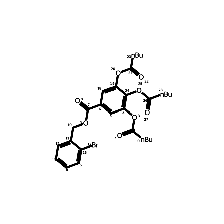 CCCCC(=O)Oc1cc(C(=O)OCc2ccccc2Br)cc(OC(=O)CCCC)c1OC(=O)CCCC